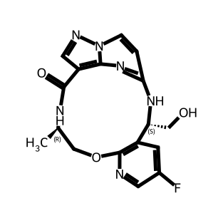 C[C@@H]1COc2ncc(F)cc2[C@@H](CO)Nc2ccn3ncc(c3n2)C(=O)N1